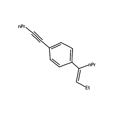 CC/C=C(\CCC)c1ccc(C#CCCC)cc1